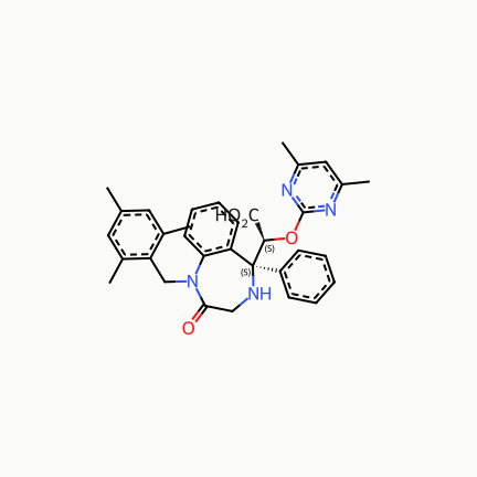 Cc1cc(C)c(CN2C(=O)CN[C@](c3ccccc3)([C@H](Oc3nc(C)cc(C)n3)C(=O)O)c3ccccc32)c(C)c1